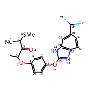 CSC(C#N)C(=O)C(C)Oc1ccc(Oc2nc3ccc(C(F)F)cc3[nH]2)cc1